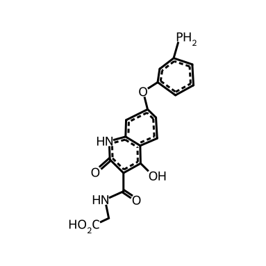 O=C(O)CNC(=O)c1c(O)c2ccc(Oc3cccc(P)c3)cc2[nH]c1=O